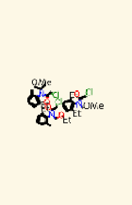 CCOCN(C(=O)CCl)c1c(C)cccc1CC.CCc1cccc(C)c1N(C(=O)CCl)C(C)COC.CCc1cccc(CC)c1N(COC)C(=O)CCl